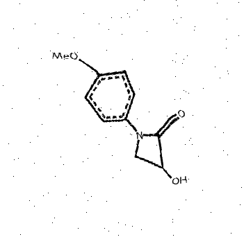 COc1ccc(N2CC(O)C2=O)cc1